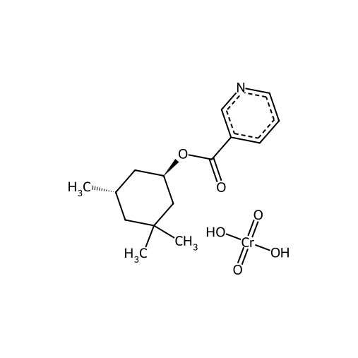 C[C@@H]1C[C@@H](OC(=O)c2cccnc2)CC(C)(C)C1.[O]=[Cr](=[O])([OH])[OH]